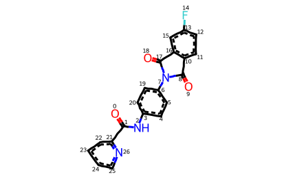 O=C(Nc1ccc(N2C(=O)c3ccc(F)cc3C2=O)cc1)c1ccccn1